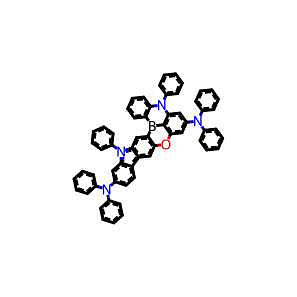 c1ccc(N(c2ccccc2)c2cc3c4c(c2)N(c2ccccc2)c2ccccc2B4c2cc4c(cc2O3)c2ccc(N(c3ccccc3)c3ccccc3)cc2n4-c2ccccc2)cc1